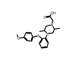 COc1ccc(Sc2ccccc2N2CC(C)N(CC(=O)O)CC2C)cc1